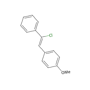 COc1ccc(/C=C(\Cl)c2ccccc2)cc1